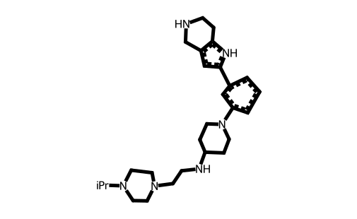 CC(C)N1CCN(CCNC2CCN(c3cccc(-c4cc5c([nH]4)CCNC5)c3)CC2)CC1